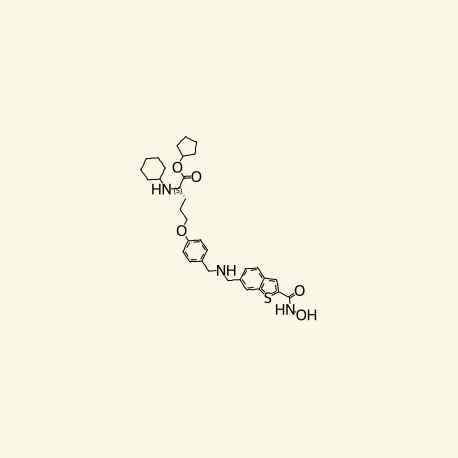 O=C(NO)c1cc2ccc(CNCc3ccc(OCCC[C@H](NC4CCCCC4)C(=O)OC4CCCC4)cc3)cc2s1